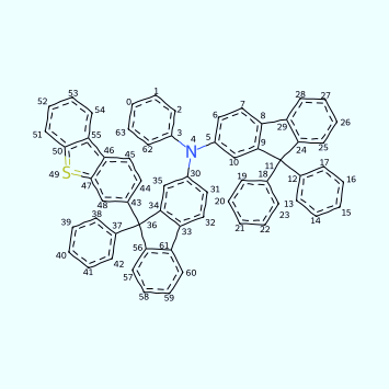 c1ccc(N(c2ccc3c(c2)C(c2ccccc2)(c2ccccc2)c2ccccc2-3)c2ccc3c(c2)C(c2ccccc2)(c2ccc4c(c2)sc2ccccc24)c2ccccc2-3)cc1